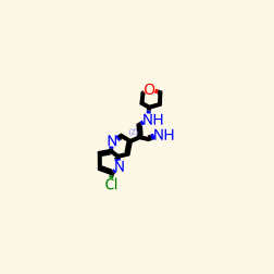 N=C/C(=C\NC1CCOCC1)c1cnc2ccc(Cl)nc2c1